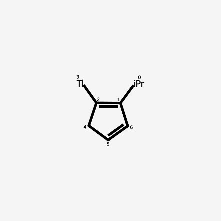 CC(C)C1=[C]([Tl])CC=C1